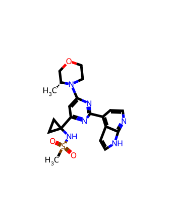 C[C@@H]1COCCN1c1cc(C2(NS(C)(=O)=O)CC2)nc(-c2ccnc3[nH]ccc23)n1